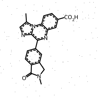 Cc1cnc2c(-c3ccc4c(c3)CN(C)C4=O)nc3cc(C(=O)O)ccc3n12